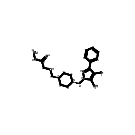 CCCc1c(Br)c(-c2ccccc2)nn1C[C@H]1CC[C@H](COCC(=O)OC(C)(C)C)CC1